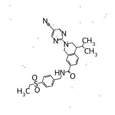 CCS(=O)(=O)c1ccc(CNC(=O)c2ccc3c(c2)CN(c2ncc(C#N)cn2)CC3C(C)C)cc1